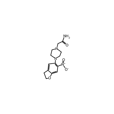 NC(=O)CN1CCN(c2cc3c(cc2[N+](=O)[O-])OCC3)CC1